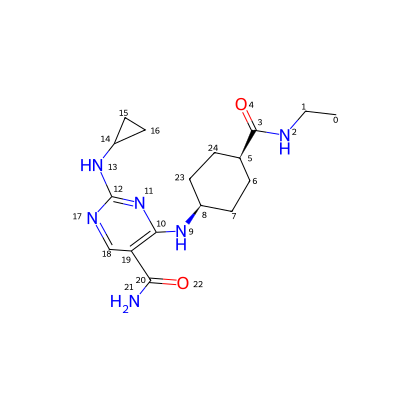 CCNC(=O)[C@H]1CC[C@@H](Nc2nc(NC3CC3)ncc2C(N)=O)CC1